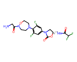 NCC(=O)N1CCN(c2c(F)cc(N3C[C@H](CNC(=O)C(F)F)OC3=O)cc2F)CCO1